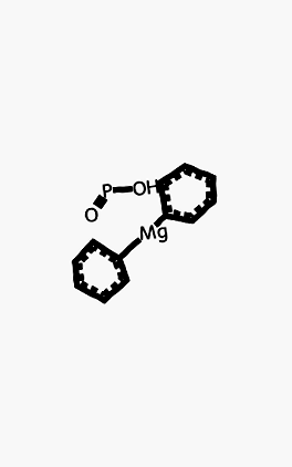 O=PO.c1cc[c]([Mg][c]2ccccc2)cc1